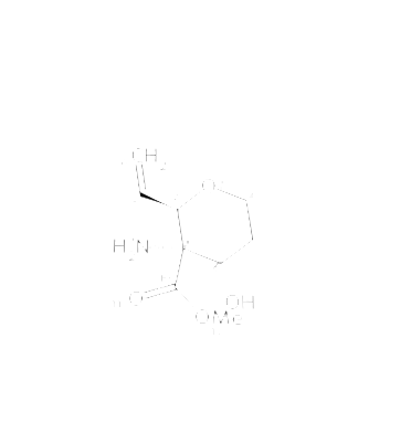 C=C[C@H]1OCC[C@H](O)[C@@]1(N)C(=O)OC